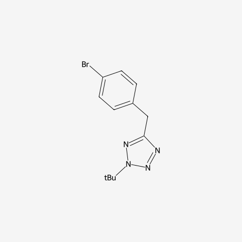 CC(C)(C)n1nnc(Cc2ccc(Br)cc2)n1